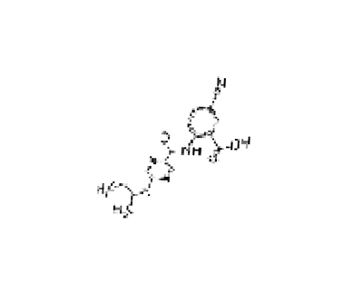 CCC(C)Sc1cnc(C(=O)Nc2ccc(C#N)cc2C(=O)O)cn1